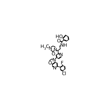 CN1CCN(C(CCNC(=O)c2ccccc2O)c2cc(N3CCOc4cnc(-c5cc(Cl)ccc5F)cc43)ccn2)C(=O)C1